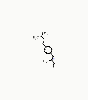 C/C(C=O)=C\c1ccc(CCC(C)C)cc1